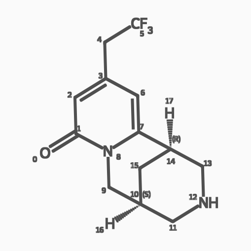 O=c1cc(CC(F)(F)F)cc2n1C[C@@H]1CNC[C@H]2C1